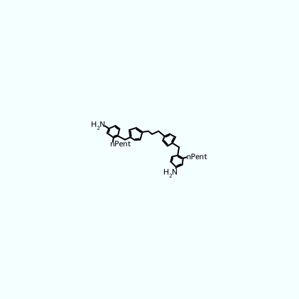 CCCCCc1cc(N)ccc1Cc1ccc(CCCc2ccc(Cc3ccc(N)cc3CCCCC)cc2)cc1